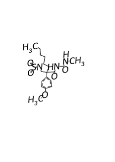 CCCCCCC(CN=S(=O)=O)(C(=O)NC(=O)NC)c1ccc(OC)cc1